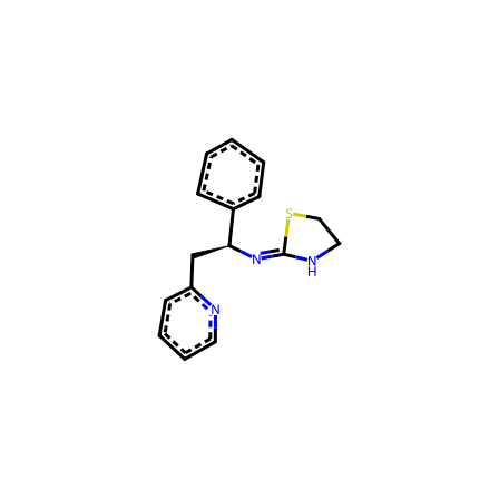 c1ccc([C@H](Cc2ccccn2)N=C2NCCS2)cc1